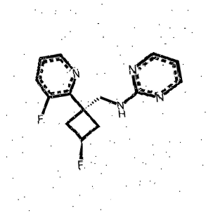 Fc1cccnc1[C@]1(CNc2ncccn2)C[C@H](F)C1